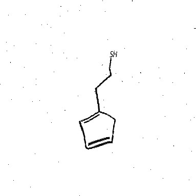 SCCC1=CC=CC1